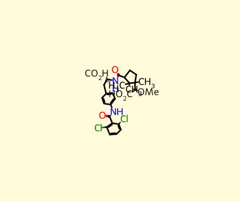 COC(C(=O)O)C1(C)CCC(C(=O)N[C@@H](Cc2ccc(NC(=O)c3c(Cl)cccc3Cl)cc2)C(=O)O)C1(C)C